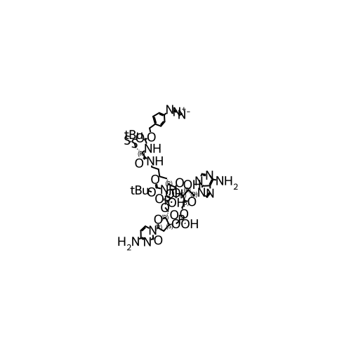 CC(C)(C)OC(=O)N[C@H](CCCCNC(=O)[C@H](CSSC(C)(C)C)NC(=O)OCc1ccc(N=[N+]=[N-])cc1)C(=O)O[C@H]1[C@@H](O)[C@H](n2cnc3c(N)ncnc32)O[C@H]1COP(=O)(O)O[C@H]1C[C@H](n2ccc(N)nc2=O)O[C@@H]1COP(=O)(O)O